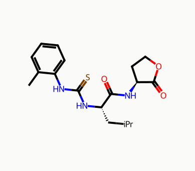 Cc1ccccc1NC(=S)N[C@@H](CC(C)C)C(=O)N[C@H]1CCOC1=O